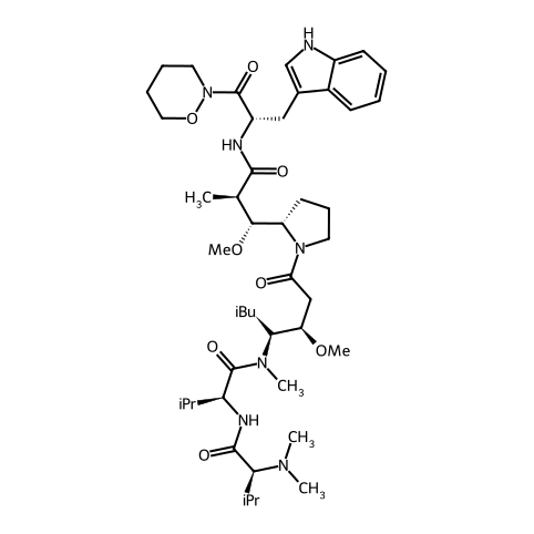 CC[C@H](C)[C@@H]([C@@H](CC(=O)N1CCC[C@H]1[C@H](OC)[C@@H](C)C(=O)N[C@@H](Cc1c[nH]c2ccccc12)C(=O)N1CCCCO1)OC)N(C)C(=O)[C@@H](NC(=O)[C@H](C(C)C)N(C)C)C(C)C